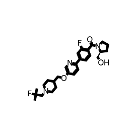 CC(C)(F)CN1CCC(COc2ccc(-c3ccc(C(=O)N4CCC[C@H]4CO)c(F)c3)nc2)CC1